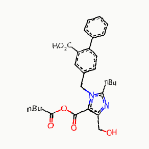 CCCCC(=O)OC(=O)c1c(CO)nc(CCCC)n1Cc1ccc(-c2ccccc2)c(C(=O)O)c1